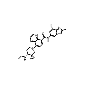 CCN[C@@H]1CCN(c2ccc(C(=O)Nc3cc(F)c4nc(C)cn4c3)c3nccnc23)CC12CC2